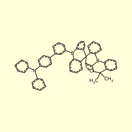 CC1(C)c2ccccc2B2c3ccccc3C3(c4ccccc4B(c4cccc(-c5ccc(N(c6ccccc6)c6ccccc6)cc5)c4)c4ccccc43)c3cccc1c32